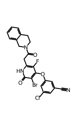 N#Cc1cc(Cl)cc(Oc2c(F)c(CC(=O)N3CCc4ccccc4C3)[nH]c(=O)c2Br)c1